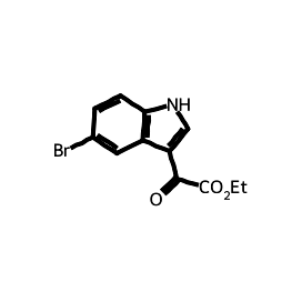 CCOC(=O)C(=O)c1c[nH]c2ccc(Br)cc12